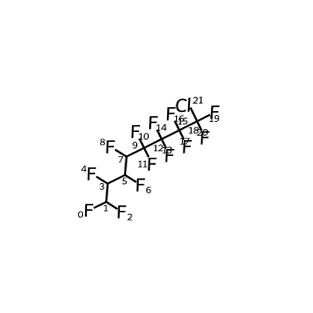 FC(F)C(F)C(F)C(F)C(F)(F)C(F)(F)C(F)(F)C(F)(F)Cl